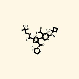 C[C@H]1CCCN1C(=O)c1nc(C(=O)NCC(C)(C)O)sc1-c1cnc(N(C)C2(C(F)(F)F)CCC2)cc1C(F)F